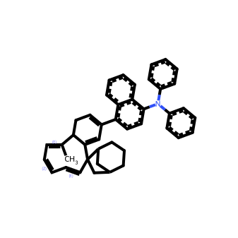 C\C1=C/C=C\C=C\C2(CC3CCCC2C3)C2=CC(c3ccc(N(c4ccccc4)c4ccccc4)c4ccccc34)=CCC21